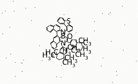 Cc1cc2c(cc1N1c3c4c(cc5ccccc35)-c3c(ccc5ccccc35)N(c3cccc5sc6ccccc6c35)B4c3oc4cc5c(cc4c31)C(C)(C)CCC5(C)C)C(C)(C)CCC2(C)C